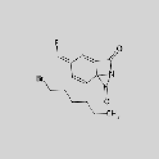 CCCCCCBr.O=C1C2=CC(=CF)C=CC23C(=O)N13